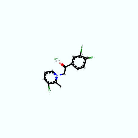 Cc1c(Br)ccc[n+]1CC(=O)c1ccc(F)c(F)c1.[Br-]